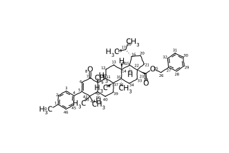 Cc1ccc(C2=CC(=O)[C@]3(C)[C@H]4CC[C@@H]5[C@H]6[C@H](C(C)C)CC[C@]6(C(=O)OCc6ccccc6)CC[C@@]5(C)[C@]4(C)CC[C@H]3C2(C)C)cc1